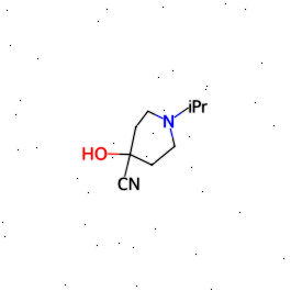 CC(C)N1CCC(O)(C#N)CC1